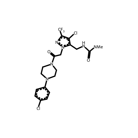 CNC(=O)NCc1c(Cl)c(C(F)(F)F)nn1CC(=O)N1CCN(c2ccc(Cl)cc2)CC1